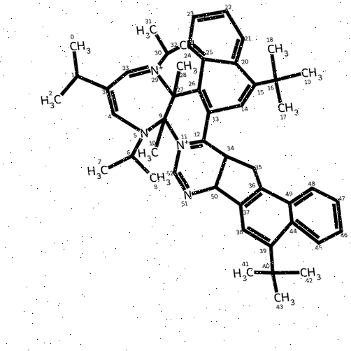 CC(C)C1=CN(C(C)C)C2(C)[N+]3=C(c4cc(C(C)(C)C)c5ccccc5c4C2(C)[N+](C(C)C)=C1)C1Cc2c(cc(C(C)(C)C)c4ccccc24)C1N=C3